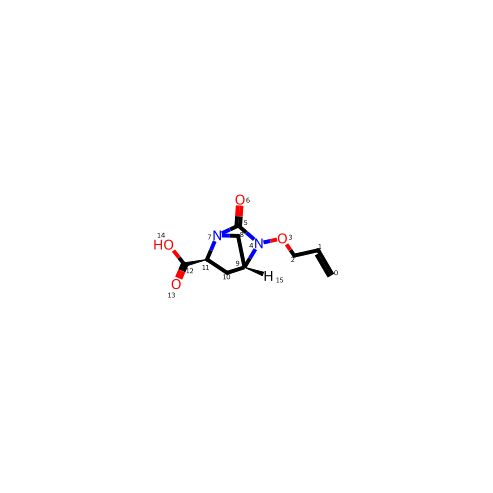 C=CCON1C(=O)N2C[C@H]1C[C@H]2C(=O)O